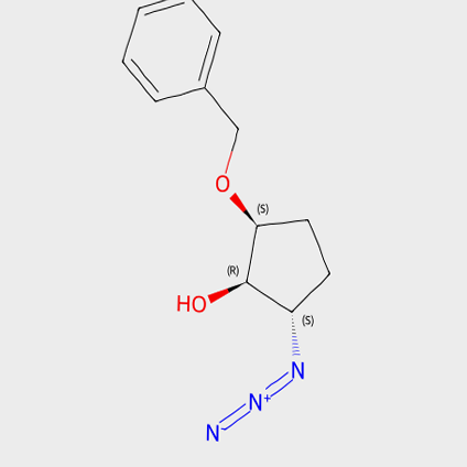 [N-]=[N+]=N[C@H]1CC[C@H](OCc2ccccc2)[C@@H]1O